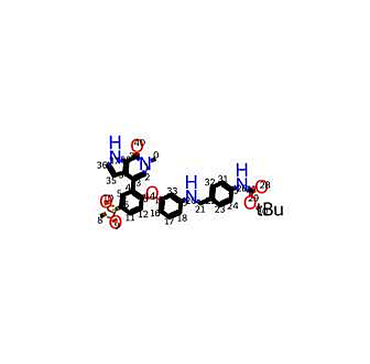 Cn1cc(-c2cc(S(C)(=O)=O)ccc2Oc2cccc(NCc3ccc(NC(=O)OC(C)(C)C)cc3)c2)c2cc[nH]c2c1=O